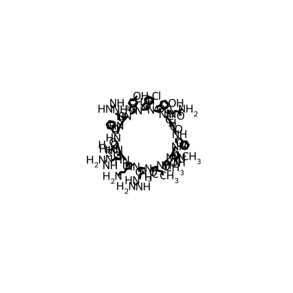 CC[C@H](C)[C@@H]1NC(=O)[C@H]([C@@H](C)O)NC(=O)[C@H](Cc2cncn2C)NC(=O)[C@H](Cc2ccccc2)NC(=O)CSC[C@@H](C(=O)NCC(N)=O)NC(=O)[C@H](Cc2ccc(O)cc2)NC(=O)[C@H](Cc2ccc(Cl)cc2)NC(=O)[C@H](Cc2ccc(O)cc2)NC(=O)[C@H](CCCNC(=N)N)NC(=O)[C@H](Cc2ccccc2)NC(=O)C(C)(C)NC(=O)[C@H](CCCNC(=N)N)NC(=O)[C@H](CCCCN)NC(=O)[C@H](CCCNC(=N)N)NC1=O